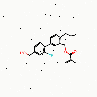 C=C(C)C(=O)OCc1cc(-c2ccc(CO)cc2F)ccc1CCC